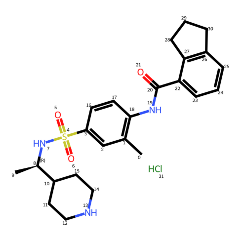 Cc1cc(S(=O)(=O)N[C@H](C)C2CCNCC2)ccc1NC(=O)c1cccc2c1CCC2.Cl